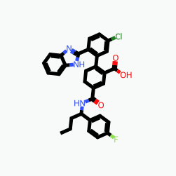 CCCC(NC(=O)C1=CC(C(=O)O)=C(c2cc(Cl)ccc2-c2nc3ccccc3[nH]2)CC1)c1ccc(F)cc1